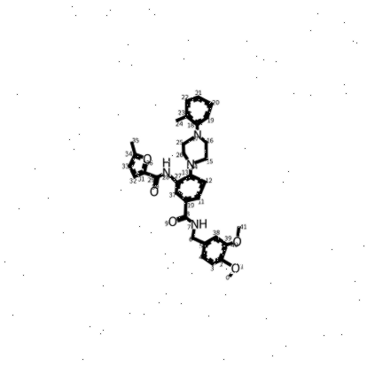 COc1ccc(CNC(=O)c2ccc(N3CCN(c4ccccc4C)CC3)c(NC(=O)c3ccc(C)o3)c2)cc1OC